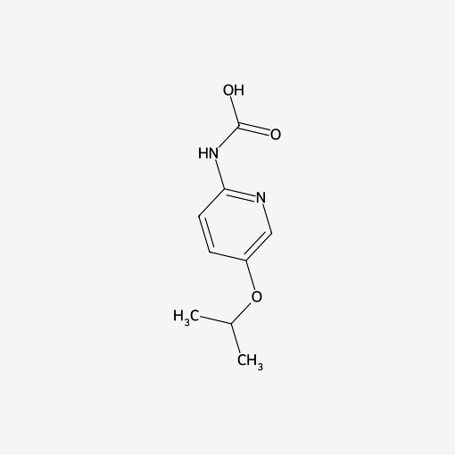 CC(C)Oc1ccc(NC(=O)O)nc1